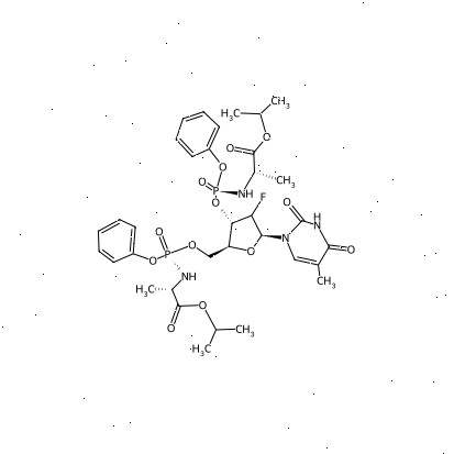 Cc1cn([C@H]2O[C@@H](CO[P@@](=O)(N[C@@H](C)C(=O)OC(C)C)Oc3ccccc3)[C@H](O[P@@](=O)(N[C@@H](C)C(=O)OC(C)C)Oc3ccccc3)C2F)c(=O)[nH]c1=O